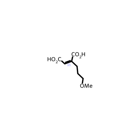 COCCC/C(=C/C(=O)O)C(=O)O